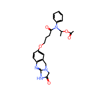 CC(=O)OC(C)N(C(=O)CCCOc1ccc2c(c1)CN1CC(=O)NC1=N2)c1ccccc1